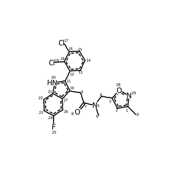 Cc1cc(CN(C)C(=O)Cc2c(-c3cccc(Cl)c3Cl)[nH]c3ccc(F)cc23)on1